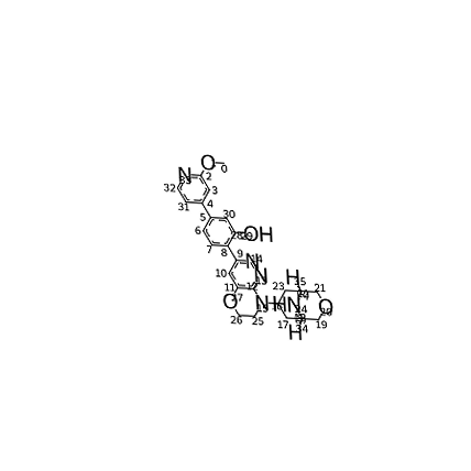 COc1cc(-c2ccc(-c3cc4c(nn3)N(C3C[C@H]5COC[C@@H](C3)N5)CCO4)c(O)c2)ccn1